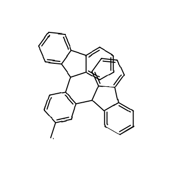 [CH2]c1ccc(C2c3ccccc3-c3ccccc32)c(C2c3ccccc3-c3ccccc32)c1